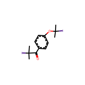 CC(C)(I)Oc1ccc(C(=O)C(C)(C)I)cc1